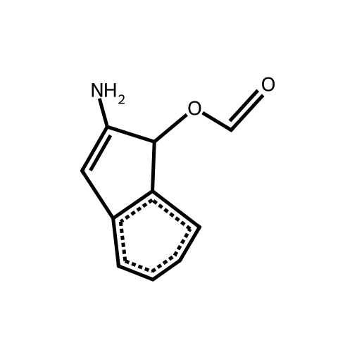 NC1=Cc2ccccc2C1OC=O